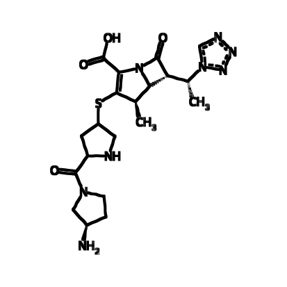 C[C@H]([C@H]1C(=O)N2C(C(=O)O)=C(SC3CNC(C(=O)N4CC[C@@H](N)C4)C3)[C@H](C)C12)n1cnnn1